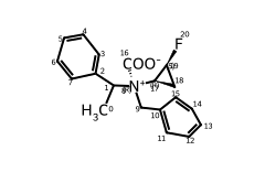 CC(c1ccccc1)[N@@+](Cc1ccccc1)(C(=O)[O-])[C@@H]1C[C@@H]1F